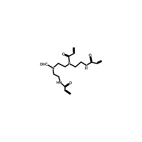 C=CC(=O)NCCN(C=O)CCN(CCNC(=O)C=C)C(=O)C=C